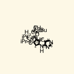 CC(C)[Si](O[C@H]1C[C@H](Nc2ncncc2C=O)C[C@@H]1CO[Si](C)(C)C(C)(C)C)(C(C)C)C(C)C